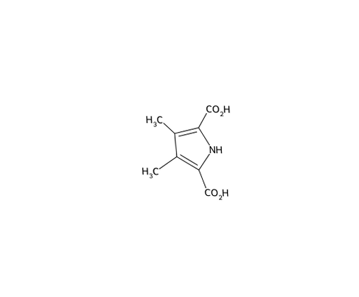 Cc1c(C(=O)O)[nH]c(C(=O)O)c1C